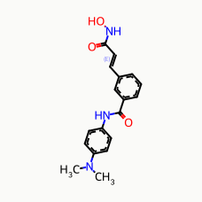 CN(C)c1ccc(NC(=O)c2cccc(/C=C/C(=O)NO)c2)cc1